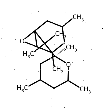 CC1CC(C)C2OC2(C(C)(C)[C@]2(C)CC(C)CC(C)O2)C1